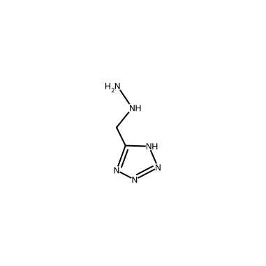 NNCc1nnn[nH]1